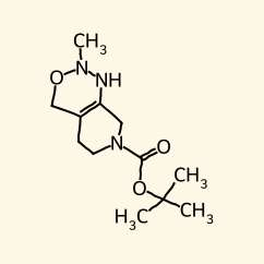 CN1NC2=C(CCN(C(=O)OC(C)(C)C)C2)CO1